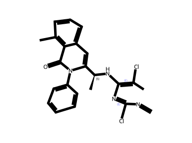 C=N/C(Cl)=N\C(N[C@@H](C)c1cc2cccc(C)c2c(=O)n1-c1ccccc1)=C(/C)Cl